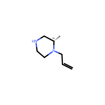 C=CCN1CCNC[C@@H]1C